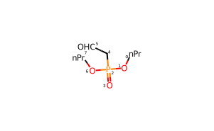 CCCOP(=O)(CC=O)OCCC